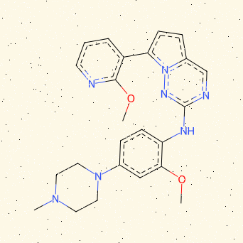 COc1cc(N2CCN(C)CC2)ccc1Nc1ncc2ccc(-c3cccnc3OC)n2n1